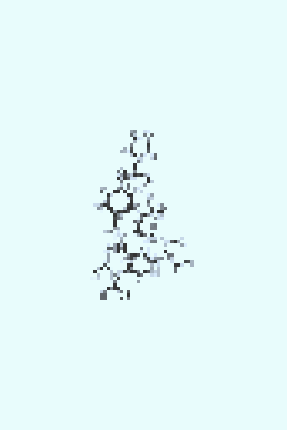 CCN(CC)c1ncc(N(C(C)=O)C(C)C)c(N[C@@H](Cc2ccc(OC(=O)N3CCCC3)cc2)C(=O)OC(C)(C)C)n1